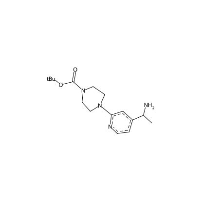 CC(N)c1ccnc(N2CCN(C(=O)OC(C)(C)C)CC2)c1